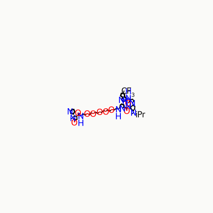 CC(C)N(C)[C@@H]1CC[C@H](N2CC[C@H](Nc3ncnc4ccc(C(F)(F)F)cc34)C2=O)[C@H](NC(=O)c2cccc(NCCOCCOCCOCCOCCOCCNC(=O)[C@H]3CC(=O)N(C)[C@@H]3c3cccnc3)n2)C1